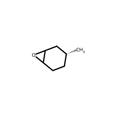 C[C@@H]1CCC2OC2C1